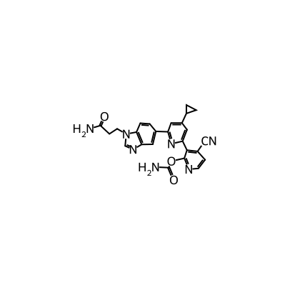 N#Cc1ccnc(OC(N)=O)c1-c1cc(C2CC2)cc(-c2ccc3c(c2)ncn3CCC(N)=O)n1